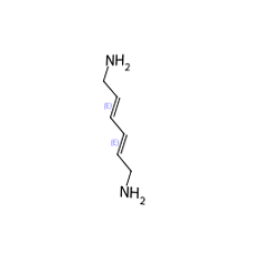 NC/C=C/C=C/CN